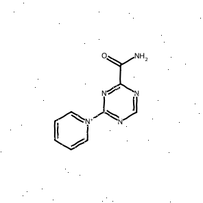 NC(=O)c1ncnc(-[n+]2ccccc2)n1